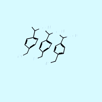 CC(C)Cc1ccc(C(C)C(=O)O)cc1.CC(C)Cc1ccc(C(C)C(=O)O)cc1.CC(C)Cc1ccc(C(C)C(=O)O)cc1